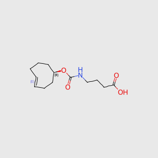 O=C(O)CCCNC(=O)O[C@H]1CC/C=C/CCC1